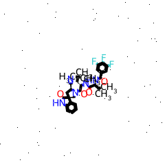 CC(C)[C@H](NC(=O)c1cc(F)c(F)c(F)c1)C(=O)N(C)[C@@H](CC(C)(C)C)C(=O)N1C[C@]2(C[C@H]1C#N)C(=O)Nc1ccccc12